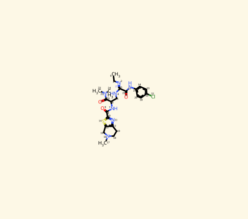 CC/N=C(\NCC(NC(=O)c1nc2c(s1)CN(C)CC2)C(=O)N(C)C)C(=O)Nc1ccc(Cl)cc1